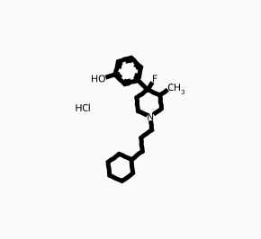 CC1CN(CCCC2CCCCC2)CCC1(F)c1cccc(O)c1.Cl